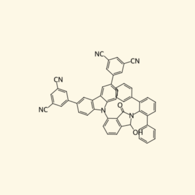 N#Cc1cc(C#N)cc(-c2ccc3c(c2)c2cc(-c4cc(C#N)cc(C#N)c4)ccc2n3-c2cccc3c2C(=O)N(c2c(-c4ccccc4)cccc2-c2ccccc2)C3O)c1